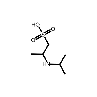 CC(C)NC(C)CS(=O)(=O)O